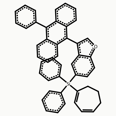 C1=CCCCC([Si](c2ccccc2)(c2ccccc2)c2ccc3occ(-c4c5ccccc5c(-c5ccccc5)c5ccccc45)c3c2)=C1